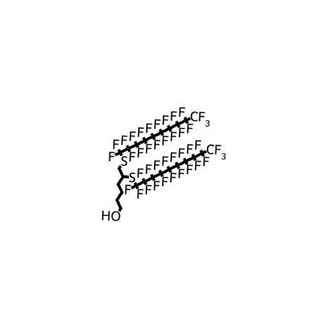 OCCCCC(CSC(F)(F)C(F)(F)C(F)(F)C(F)(F)C(F)(F)C(F)(F)C(F)(F)C(F)(F)C(F)(F)C(F)(F)F)SC(F)(F)C(F)(F)C(F)(F)C(F)(F)C(F)(F)C(F)(F)C(F)(F)C(F)(F)C(F)(F)C(F)(F)F